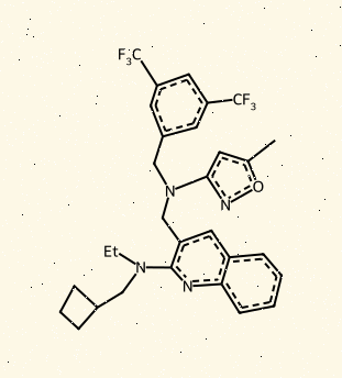 CCN(CC1CCC1)c1nc2ccccc2cc1CN(Cc1cc(C(F)(F)F)cc(C(F)(F)F)c1)c1cc(C)on1